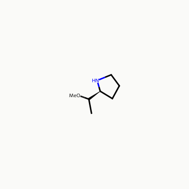 COC(C)[C@@H]1CCCN1